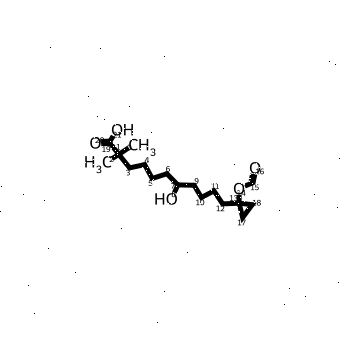 CC(C)(CCCCC(O)CCCCC1(OC=O)CC1)C(=O)O